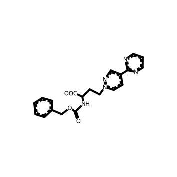 O=C(NC(CC[n+]1ccc(-c2ncccn2)cn1)C(=O)[O-])OCc1ccccc1